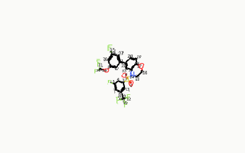 O=S(=O)(c1cc(F)cc(C(F)(F)F)c1)N1CCOc2ccc(-c3cc(F)cc(OC(F)F)c3)cc21